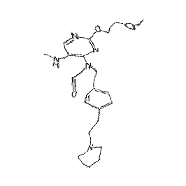 CNc1cnc(OCCOC)nc1N(C=O)Cc1ccc(CCN2CCCC2)cc1